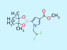 COC(=O)c1cc(B2OC(C)(C)C(C)(C)O2)n(CC(F)F)c1